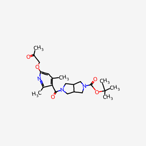 CC(=O)COc1cc(C)c(C(=O)N2CC3CN(C(=O)OC(C)(C)C)CC3C2)c(C)n1